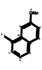 COc1ccc2cnnc(I)c2c1